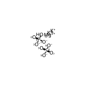 O=P([O-])([O-])O.O=S(=O)([O-])[O-].[K+].[K+].[Mg+2]